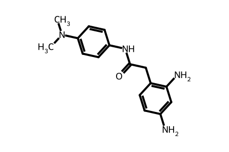 CN(C)c1ccc(NC(=O)Cc2ccc(N)cc2N)cc1